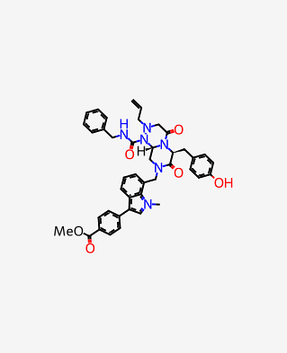 C=CCN1CC(=O)N2[C@@H](Cc3ccc(O)cc3)C(=O)N(Cc3cccc4c(-c5ccc(C(=O)OC)cc5)cn(C)c34)C[C@@H]2N1C(=O)NCc1ccccc1